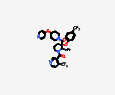 CCC[C@H]1N(C(=O)c2cnccc2C(F)(F)F)CCC[C@@]1(Oc1ccc(C(F)(F)F)cc1)C(=O)N1CCC(Oc2ccncc2)CC1